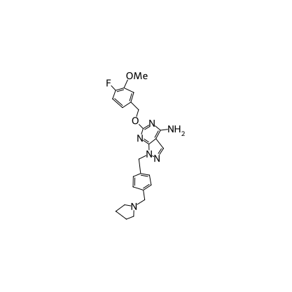 COc1cc(COc2nc(N)c3cnn(Cc4ccc(CN5CCCC5)cc4)c3n2)ccc1F